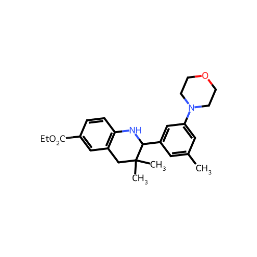 CCOC(=O)c1ccc2c(c1)CC(C)(C)C(c1cc(C)cc(N3CCOCC3)c1)N2